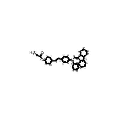 C=CC(=O)Oc1ccc(C=Cc2ccc(N(C=C3c4ccccc4-c4ccccc43)c3ccccc3)cc2)cc1